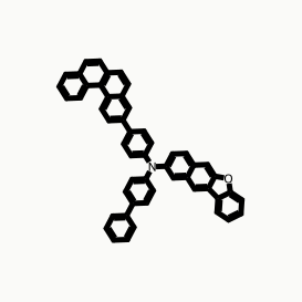 c1ccc(-c2ccc(N(c3ccc(-c4ccc5c(ccc6ccc7ccccc7c65)c4)cc3)c3ccc4cc5oc6ccccc6c5cc4c3)cc2)cc1